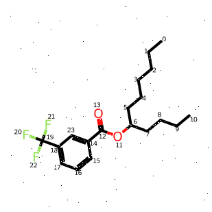 CCCCCCC(CCCC)OC(=O)c1cccc(C(F)(F)F)c1